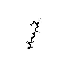 C=C(C)C(=O)OCCC[SiH2]CCC(OCC)OCC